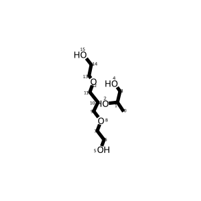 CC(O)CO.OCCOCCCOCCO